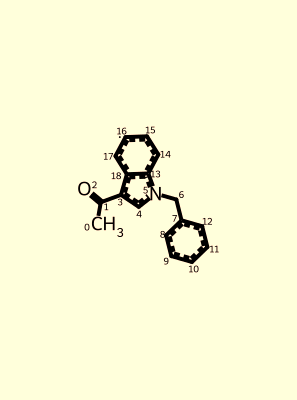 CC(=O)c1cn(Cc2ccccc2)c2cc[c]cc12